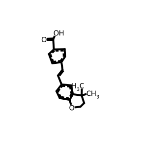 CC1(C)CCOc2ccc(C=Cc3ccc(C(=O)O)cc3)cc21